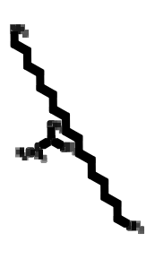 CCCCCCCCCCCCCCCCCCN.CN(C)C.O